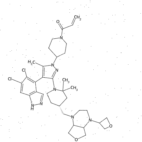 C=CC(=O)N1CCC(n2nc(N3CC[C@@H](CN4CCN(C5COC5)C5COCC54)CC3(C)C)c(-c3c(Cl)c(Cl)cc4[nH]ncc34)c2C)CC1